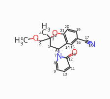 COCC1(C)CC(n2ccccc2=O)c2cc(C#N)ccc2O1